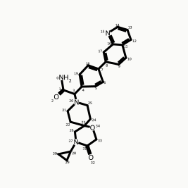 NC(=O)C(c1ccc(-c2ccc3cccnc3c2)cc1)N1CCC2(CC1)CN(C1CC1)C(=O)CO2